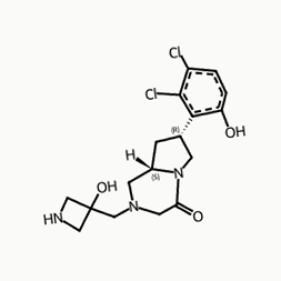 O=C1CN(CC2(O)CNC2)C[C@@H]2C[C@H](c3c(O)ccc(Cl)c3Cl)CN12